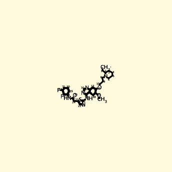 [CH2]CC1CCCCN1CCCOc1cc2ncnc(Nc3ncc(CC(=O)Nc4cccc(F)c4F)s3)c2cc1OC